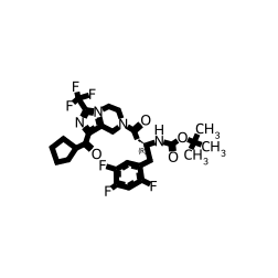 CC(C)(C)OC(=O)N[C@@H](CC(=O)N1CCn2c(C(F)(F)F)nc(C(=O)C3CCCC3)c2C1)Cc1cc(F)c(F)cc1F